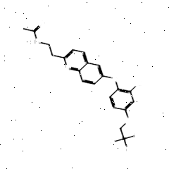 CC(=O)NCCc1ccc2cc(Oc3ccc(OCC(F)(F)F)cc3Cl)ccc2n1